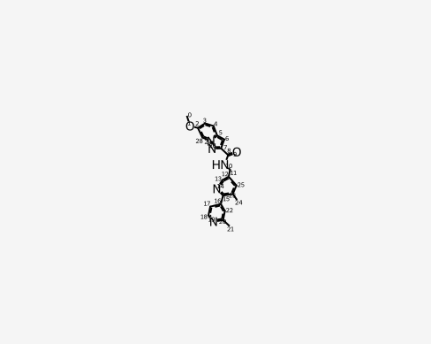 COc1ccc2cc(C(=O)NCc3cnc(-c4ccnc(C)c4)c(C)c3)nn2c1